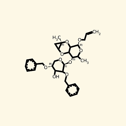 C=CCO[C@@H]1OC(C)[C@H](O[C@@H]2OC[C@@H](OCc3ccccc3)C(O)C2OCc2ccccc2)C2OC3C[C@@]3(C)OC21